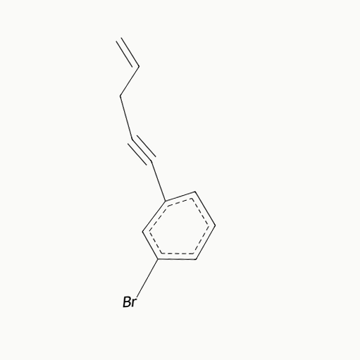 C=CCC#Cc1cccc(Br)c1